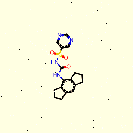 O=C(Nc1c2c(cc3c1CCC3)CCC2)NS(=O)(=O)c1cncnc1